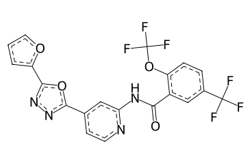 O=C(Nc1cc(-c2nnc(-c3ccco3)o2)ccn1)c1cc(C(F)(F)F)ccc1OC(F)(F)F